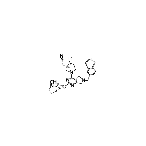 CN1CCC[C@H]1COc1nc2c(c(N3CCN[C@@H](CC#N)C3)n1)CN(Cc1ccc3ccccc3c1)C2